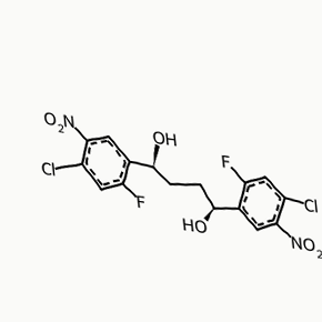 O=[N+]([O-])c1cc([C@@H](O)CC[C@H](O)c2cc([N+](=O)[O-])c(Cl)cc2F)c(F)cc1Cl